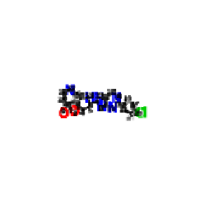 O=C1O[C@]2(CC[C@H](c3nc4nc(-c5ccc(Cl)cc5)ncc4[nH]3)CC2)c2cnccc21